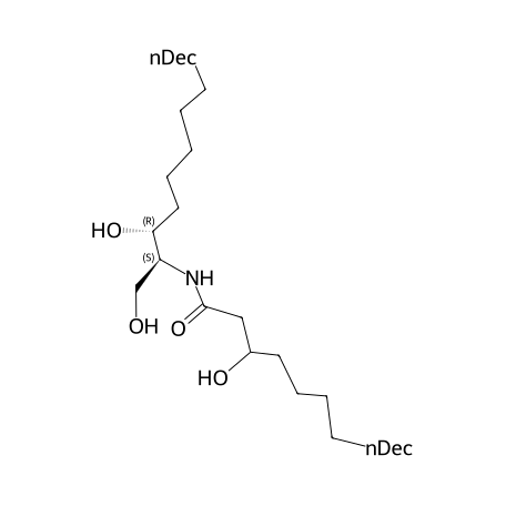 CCCCCCCCCCCCCCC[C@@H](O)[C@H](CO)NC(=O)CC(O)CCCCCCCCCCCCCC